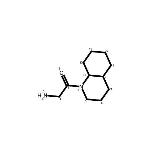 NCC(=O)N1CCCC2CCCCC21